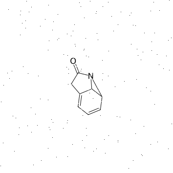 O=C1CC2=CC=CC3C2N13